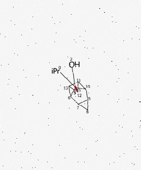 CC(C)C1(O)CC2(C1)C1C3CC3C2C2CC21